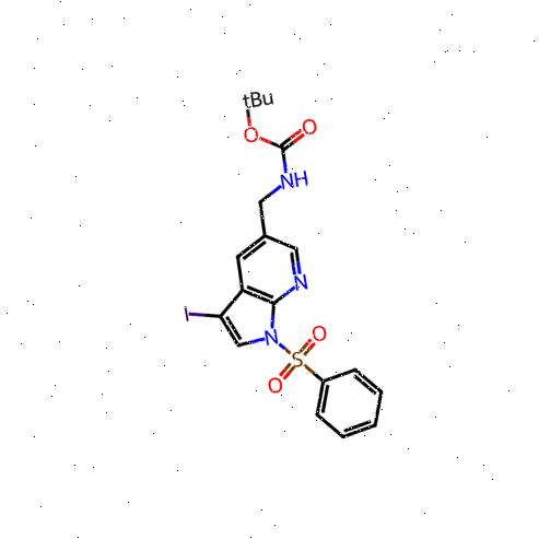 CC(C)(C)OC(=O)NCc1cnc2c(c1)c(I)cn2S(=O)(=O)c1ccccc1